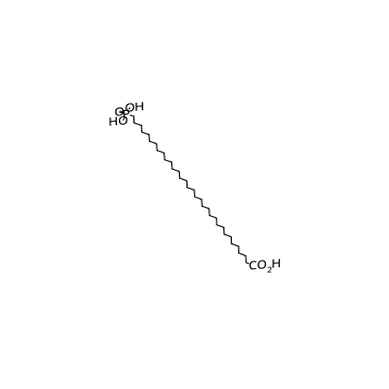 O=C(O)CCCCCCCCCCCCCCCCCCCCCCCCCCCCCCCCP(=O)(O)O